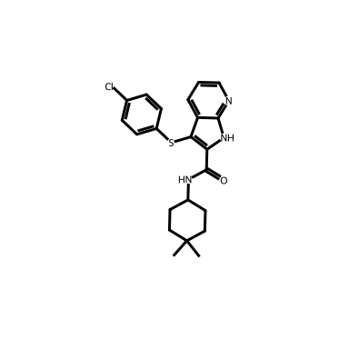 CC1(C)CCC(NC(=O)c2[nH]c3ncccc3c2Sc2ccc(Cl)cc2)CC1